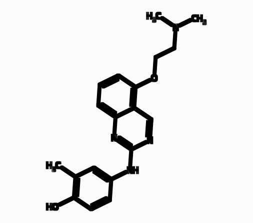 Cc1cc(Nc2ncc3c(OCCN(C)C)cccc3n2)ccc1O